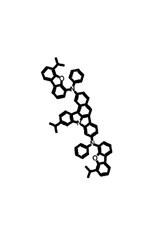 CC(C)c1ccc2c3c4cc(N(c5ccccc5)c5cccc6c5oc5c(C(C)C)cccc56)ccc4cc4c5ccc(N(c6ccccc6)c6cccc7c6oc6c(C(C)C)cccc67)cc5n(c2c1)c43